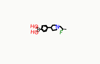 C[C@@H](F)CN1CCC(c2ccc(B(O)O)cc2)CC1